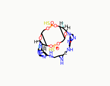 O=[P@]1(S)OCC2O[C@@H]3[C@H](F)[C@@H]2O[P@](=O)(S)OCC2O[C@H]([C@H](F)[C@@H]2O1)n1cnc2c(ncnc21)NCC1NC1CNc1ncnc2c1ncn23